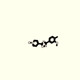 COc1cc(-c2noc(-c3cc[n+]([O-])cc3)n2)ccc1C